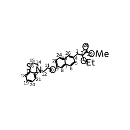 CCOC(Cc1ccc2cc(OCCN3CCSc4ccccc43)ccc2c1)C(=O)OC